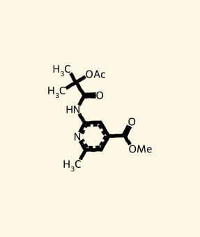 COC(=O)c1cc(C)nc(NC(=O)C(C)(C)OC(C)=O)c1